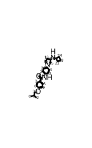 CC(C)COc1ccc(C(=O)Nc2ccc(N3CCC(NC4CCC4)C3)cc2)cc1